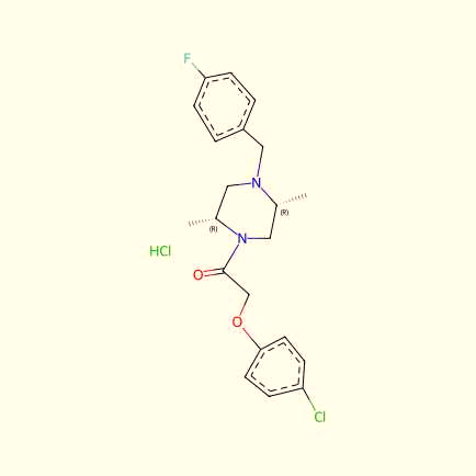 C[C@@H]1CN(C(=O)COc2ccc(Cl)cc2)[C@H](C)CN1Cc1ccc(F)cc1.Cl